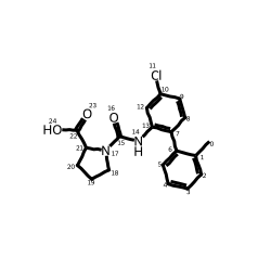 Cc1ccccc1-c1ccc(Cl)cc1NC(=O)N1CCCC1C(=O)O